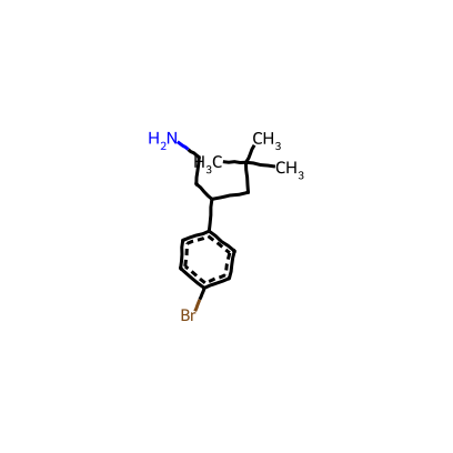 CC(C)(C)CC(CCN)c1ccc(Br)cc1